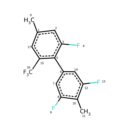 Cc1cc(F)c(-c2cc(F)c(C)c(F)c2)c(C(F)(F)F)c1